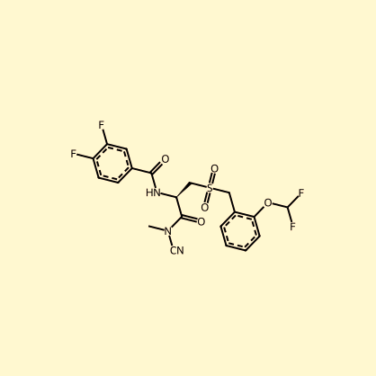 CN(C#N)C(=O)[C@H](CS(=O)(=O)Cc1ccccc1OC(F)F)NC(=O)c1ccc(F)c(F)c1